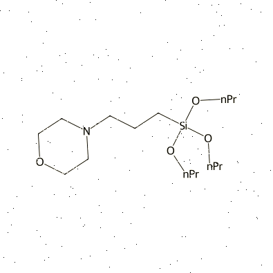 CCCO[Si](CCCN1CCOCC1)(OCCC)OCCC